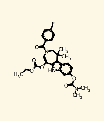 CCOC(=O)OC1=CN(C(=O)c2ccc(F)cc2)CC(C)(C)c2c1[nH]c1cc(OC(=O)N(C)C)ccc21